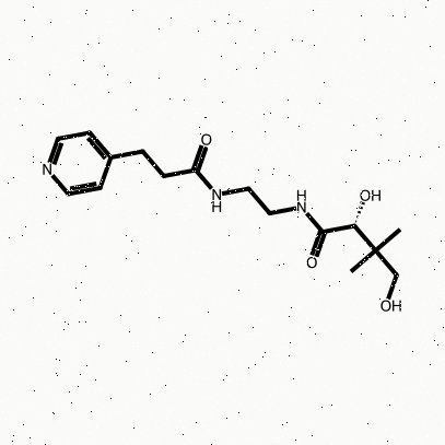 CC(C)(CO)[C@@H](O)C(=O)NCCNC(=O)CCc1ccncc1